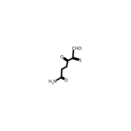 NC(=O)CCC(=O)C(=S)[C]=O